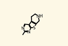 Cc1ncc2c3c(sc2n1)CNCC3